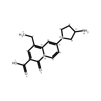 CCc1cc(C(=O)O)c(=O)n2ccc(N3CCC(N)C3)cc12